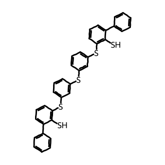 Sc1c(Sc2cccc(Sc3cccc(Sc4cccc(-c5ccccc5)c4S)c3)c2)cccc1-c1ccccc1